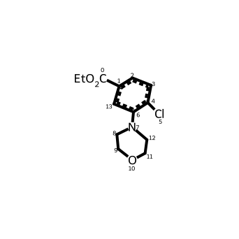 CCOC(=O)c1ccc(Cl)c(N2CCOCC2)c1